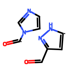 O=Cc1c[c][nH]n1.O=[C]n1ccnc1